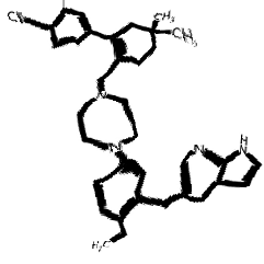 C=Cc1ccc(N2CCN(CC3=C(c4ccc(Cl)cc4)CC(C)(C)CC3)CC2)cc1Cc1cnc2[nH]ccc2c1